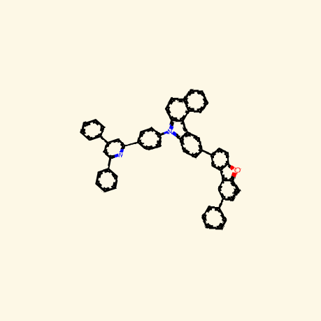 c1ccc(-c2cc(-c3ccccc3)nc(-c3ccc(-n4c5ccc(-c6ccc7oc8ccc(-c9ccccc9)cc8c7c6)cc5c5c6ccccc6ccc54)cc3)c2)cc1